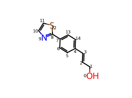 OCC=Cc1ccc(-c2nccs2)cc1